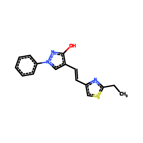 CCc1nc(C=Cc2cn(-c3ccccc3)nc2O)cs1